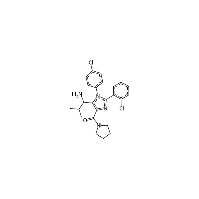 CC(C)C(N)c1c(C(=O)N2CCCC2)nc(-c2ccccc2Cl)n1-c1ccc(Cl)cc1